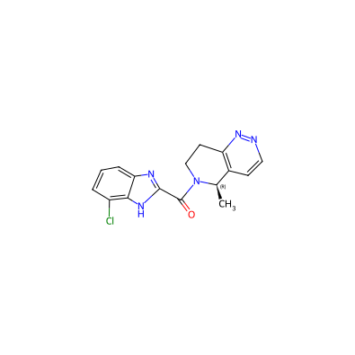 C[C@@H]1c2ccnnc2CCN1C(=O)c1nc2cccc(Cl)c2[nH]1